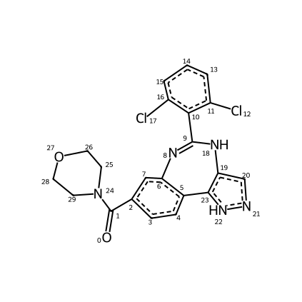 O=C(c1ccc2c(c1)N=C(c1c(Cl)cccc1Cl)Nc1cn[nH]c1-2)N1CCOCC1